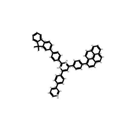 CC1(C)c2ccccc2-c2ccc(-c3ccc(-c4nc(-c5ccc(-c6cccnc6)cc5)cc(-c5ccc(-c6ccc7ccc8cccc9ccc6c7c89)cc5)n4)cc3)cc21